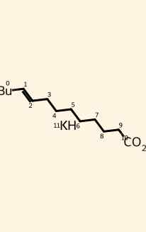 CCCCC=CCCCCCCCC(=O)O.[KH]